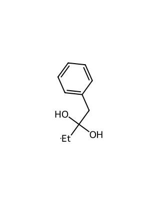 C[CH]C(O)(O)Cc1ccccc1